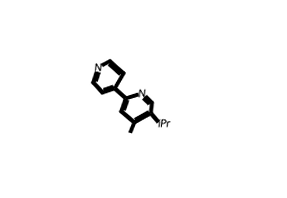 Cc1cc(-c2ccncc2)ncc1C(C)C